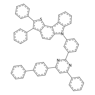 c1ccc(-c2ccc(-c3cc(-c4ccccc4)nc(-c4cccc(-n5c6ccccc6c6c7sc(-c8ccccc8)c(-c8ccccc8)c7ccc65)c4)n3)cc2)cc1